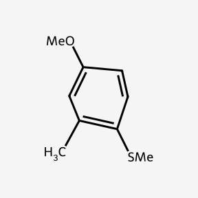 COc1ccc(SC)c(C)c1